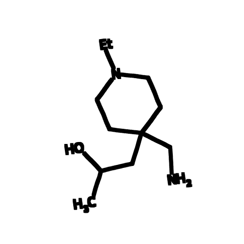 CCN1CCC(CN)(CC(C)O)CC1